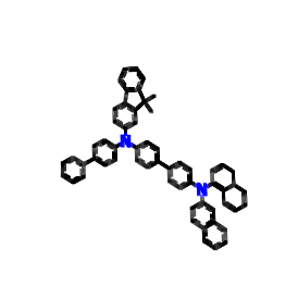 CC1(C)c2ccccc2-c2ccc(N(c3ccc(-c4ccccc4)cc3)c3ccc(-c4ccc(N(C5=C6C=CC=CC6CC=C5)c5ccc6ccccc6c5)cc4)cc3)cc21